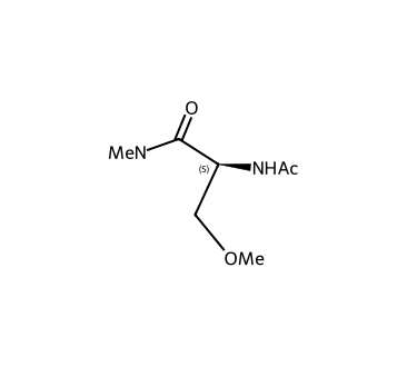 CNC(=O)[C@H](COC)NC(C)=O